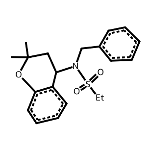 CCS(=O)(=O)N(Cc1ccccc1)C1CC(C)(C)Oc2ccccc21